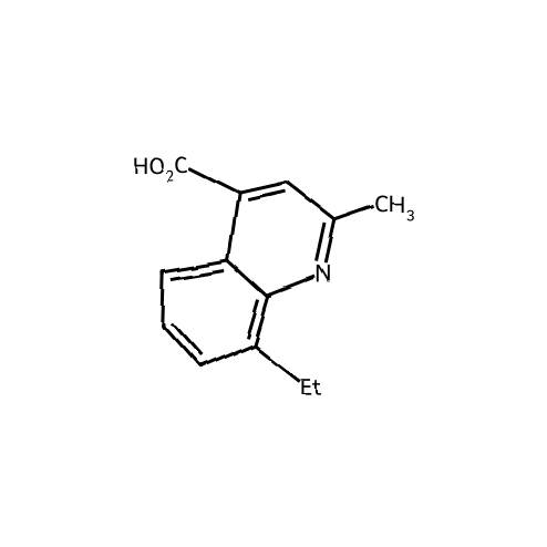 CCc1cccc2c(C(=O)O)cc(C)nc12